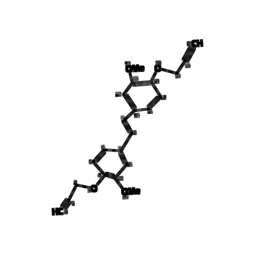 C#CCOc1ccc(/C=C/c2ccc(OCC#C)c(OC)c2)cc1OC